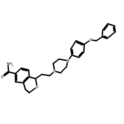 NC(=O)c1ccc2c(c1)CCOC2CCN1CCN(c2ccc(OCc3ccccc3)cc2)CC1